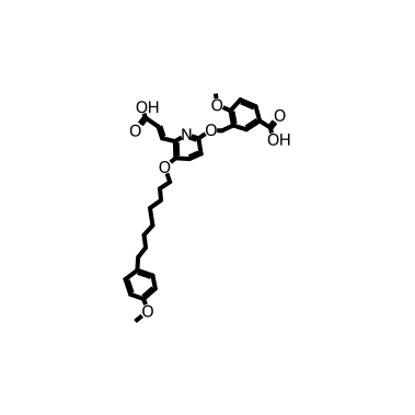 COc1ccc(CCCCCCCCOc2ccc(OCc3cc(C(=O)O)ccc3OC)nc2C=CC(=O)O)cc1